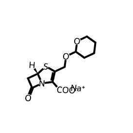 O=C([O-])C1=C(COC2CCCCO2)S[C@H]2CC(=O)N12.[Na+]